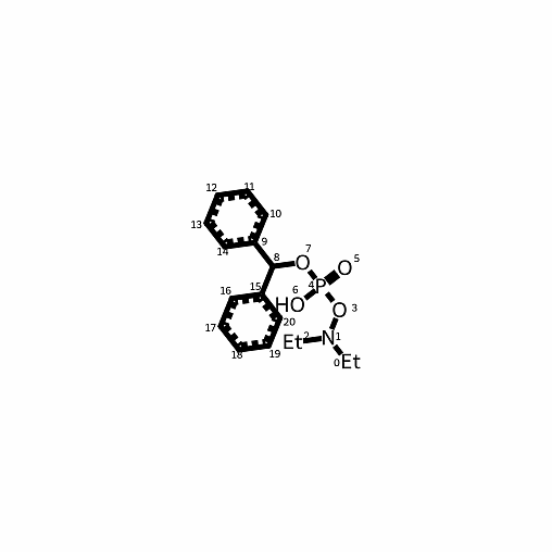 CCN(CC)OP(=O)(O)OC(c1ccccc1)c1ccccc1